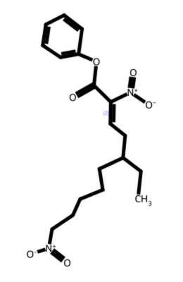 CCC(C/C=C(/C(=O)Oc1ccccc1)[N+](=O)[O-])CCCCC[N+](=O)[O-]